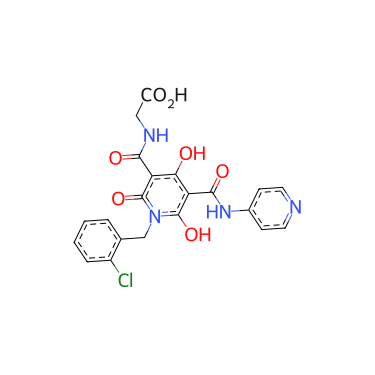 O=C(O)CNC(=O)c1c(O)c(C(=O)Nc2ccncc2)c(O)n(Cc2ccccc2Cl)c1=O